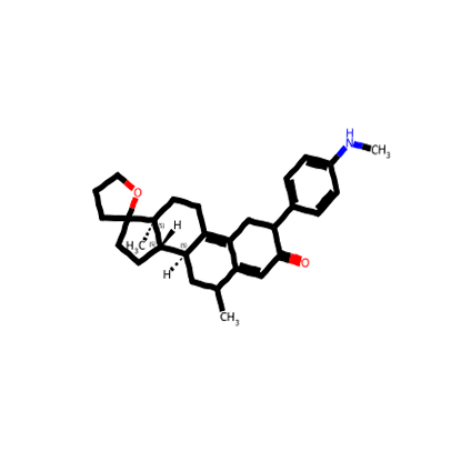 CNc1ccc(C2CC3=C4CC[C@@]5(C)[C@@H](CCC56CCCO6)[C@@H]4CC(C)C3=CC2=O)cc1